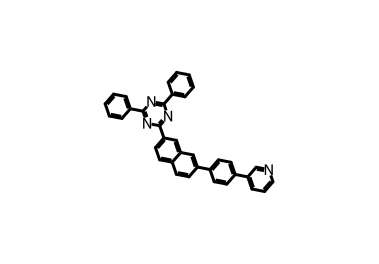 c1ccc(-c2nc(-c3ccccc3)nc(-c3ccc4ccc(-c5ccc(-c6cccnc6)cc5)cc4c3)n2)cc1